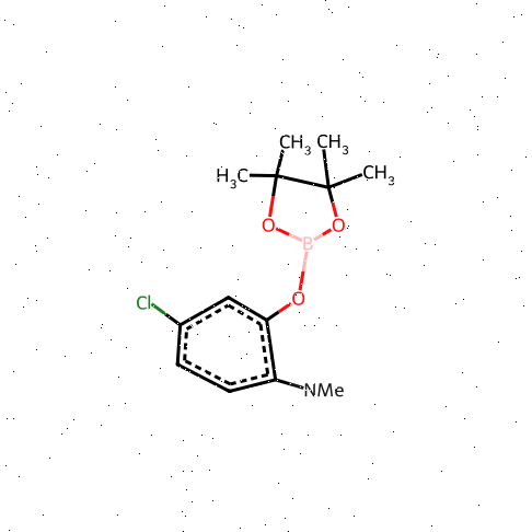 CNc1ccc(Cl)cc1OB1OC(C)(C)C(C)(C)O1